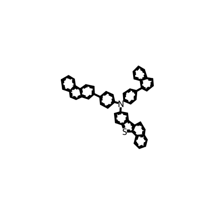 c1ccc2c(-c3ccc(N(c4ccc(-c5ccc6c(ccc7ccccc76)c5)cc4)c4ccc5sc6c7ccccc7ccc6c5c4)cc3)cccc2c1